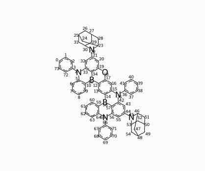 c1ccc(N2c3ccccc3B3c4cc5c(cc4Oc4cc(N6C7CC8CC(C7)CC6C8)cc2c43)N(c2ccccc2)c2cc(N3C4CC6CC(C4)CC3C6)cc3c2B5c2ccccc2N3c2ccccc2)cc1